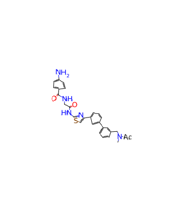 CC(=O)N(C)Cc1cccc(-c2cccc(-c3csc(NC(=O)CNC(=O)c4ccc(N)cc4)n3)c2)c1